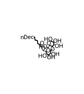 CCCCCCCCCCCCCCC(=O)COC[C@H]1O[C@@H](O[C@H]2[C@H](O)[C@@H](O)[C@H](O)O[C@@H]2CO)[C@H](O)[C@@H](O)[C@@H]1O